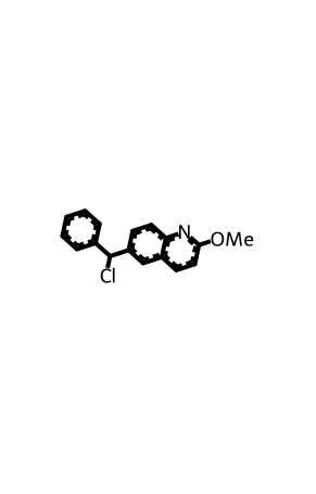 COc1ccc2cc(C(Cl)c3ccccc3)ccc2n1